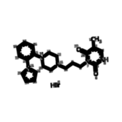 Br.Cc1c[nH]c(=O)n(CCCN2CCN(c3ccccc3-n3cccc3)CC2)c1=O